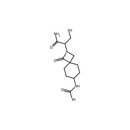 CC(C)C(=O)NC1CCC2(CC1)CN(C(CS)C(N)=O)C2=O